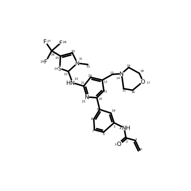 C=CC(=O)Nc1cccc(-c2cc(CN3CCOCC3)cc(NC3SC(C(F)(F)F)=CN3C)n2)c1